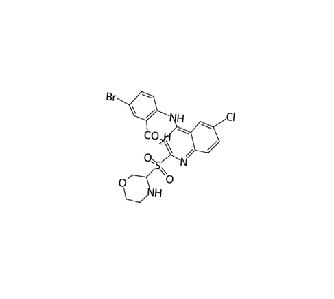 O=C(O)c1cc(Br)ccc1Nc1cc(S(=O)(=O)C2COCCN2)nc2ccc(Cl)cc12